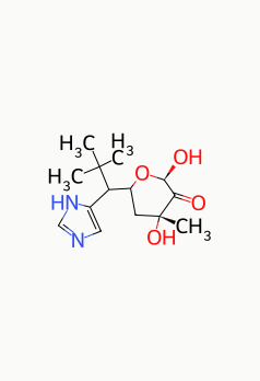 CC(C)(C)C(c1cnc[nH]1)C1C[C@@](C)(O)C(=O)[C@H](O)O1